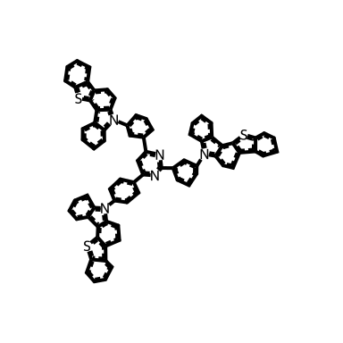 c1cc(-c2cc(-c3ccc(-n4c5ccccc5c5c6sc7ccccc7c6ccc54)cc3)nc(-c3cccc(-n4c5ccccc5c5c6sc7ccccc7c6ccc54)c3)n2)cc(-n2c3ccccc3c3c4sc5ccccc5c4ccc32)c1